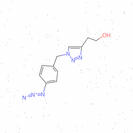 [N-]=[N+]=Nc1ccc(Cn2cc(CCO)nn2)cc1